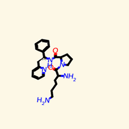 NCCCCC(N)C(=O)N1CCCC1C(=O)N[C@@H](Cc1ccccn1)c1ccccc1